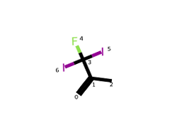 C=C(C)C(F)(I)I